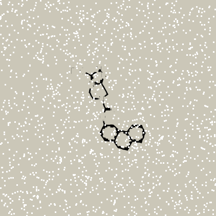 O=C(Oc1ccc2ccc3ccccc3c2c1)N1CCn2c(nnc2C(F)(F)F)C1